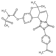 CC(=O)c1ccc(-n2c(=O)n3n(c2=O)C2C(=CC3)C(C)(C)Oc3cc(OC(=O)N(C)S(C)(=O)=O)ccc32)cc1